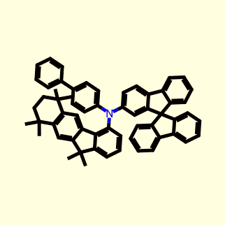 CC1(C)CCC(C)(C)c2cc3c(cc21)-c1c(N(c2ccc(-c4ccccc4)cc2)c2ccc4c(c2)C2(c5ccccc5-c5ccccc52)c2ccccc2-4)cccc1C3(C)C